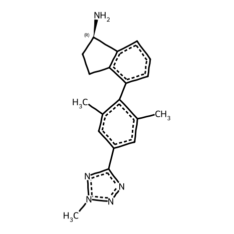 Cc1cc(-c2nnn(C)n2)cc(C)c1-c1cccc2c1CC[C@H]2N